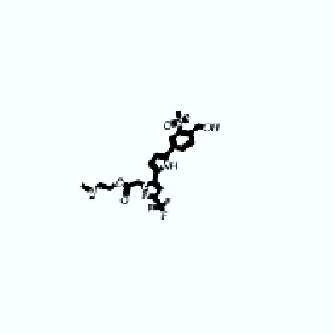 CN(C)CCOC(=O)Cn1nc(C(F)(F)F)cc1-c1ccc(-c2ccc(CO)c(S(C)(=O)=O)c2)[nH]1